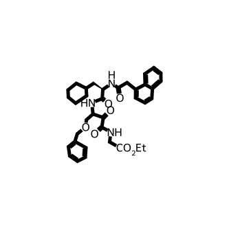 CCOC(=O)CNC(=O)C(=O)C(COCc1ccccc1)NC(=O)[C@@H](CC1CCCCC1)NC(=O)Cc1cccc2ccccc12